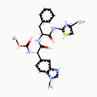 Cn1cnc2cc([C@H](NC(=O)OC(C)(C)C)C(=O)NC(Cc3ccccc3)C(=O)Nc3nc(C(=O)O)cs3)ccc21